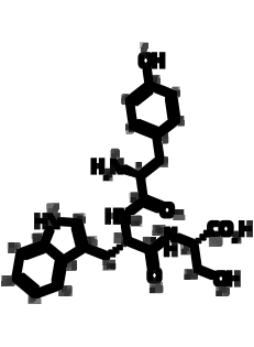 N[C@@H](Cc1ccc(O)cc1)C(=O)N[C@@H](Cc1c[nH]c2ccccc12)C(=O)N[C@@H](CO)C(=O)O